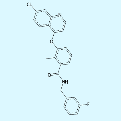 Cc1c(Oc2ccnc3cc(Cl)ccc23)cccc1C(=O)NCc1cccc(F)c1